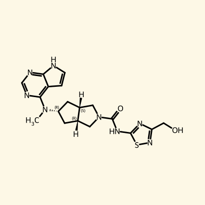 CN(c1ncnc2[nH]ccc12)[C@@H]1C[C@@H]2CN(C(=O)Nc3nc(CO)ns3)C[C@@H]2C1